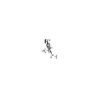 N#[C][Cd].[KH]